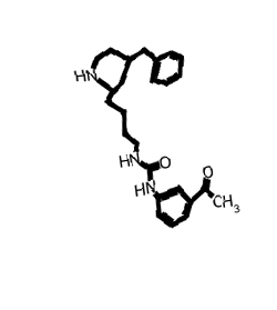 CC(=O)c1cccc(NC(=O)NCCCCC2CC(Cc3ccccc3)CCN2)c1